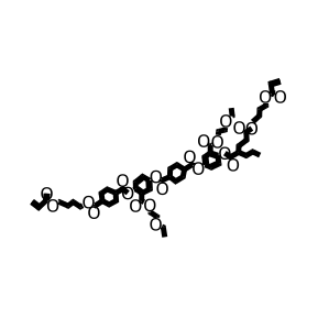 C=CC(=O)OCCCCOC(=O)CCC(CCC)C(=O)Oc1ccc(OC(=O)C2CCC(C(=O)Oc3ccc(OC(=O)C4CCC(C(=O)OCCCCOC(=O)C=C)CC4)c(C(=O)OCCOCC)c3)CC2)cc1C(=O)OCCOCC